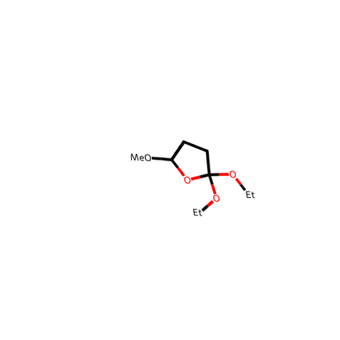 CCOC1(OCC)CCC(OC)O1